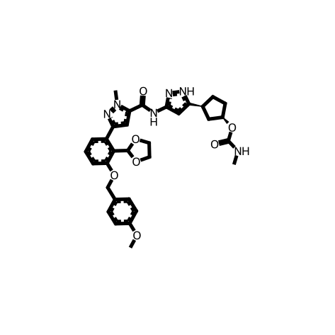 CNC(=O)O[C@@H]1CC[C@H](c2cc(NC(=O)c3cc(-c4cccc(OCc5ccc(OC)cc5)c4C4OCCO4)nn3C)n[nH]2)C1